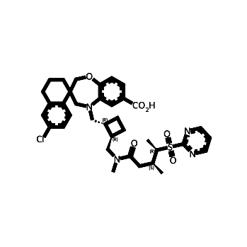 C[C@H]([C@@H](C)CC(=O)N(C)C[C@@H]1CC[C@H]1CN1CC2(CCCc3cc(Cl)ccc32)COc2ccc(C(=O)O)cc21)S(=O)(=O)c1ncccn1